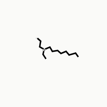 [CH2]CCN(CC)CCCCCCCC